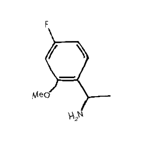 COc1cc(F)ccc1C(C)N